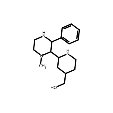 CN1CCNC(c2ccccc2)C1C1CC(CO)CCN1